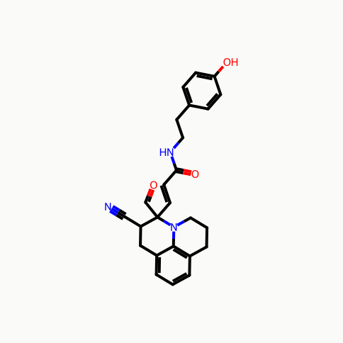 N#CC1Cc2cccc3c2N(CCC3)C1(C=O)C=CC(=O)NCCc1ccc(O)cc1